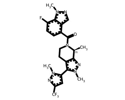 C[C@H]1c2nn(C)c(-c3cc(C(F)(F)F)nn3C)c2CCN1C(=O)c1ccc(F)c2c1cnn2C